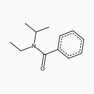 CCN(C(=O)c1ccccc1)C(C)C